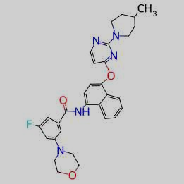 CC1CCN(c2nccc(Oc3ccc(NC(=O)c4cc(F)cc(N5CCOCC5)c4)c4ccccc34)n2)CC1